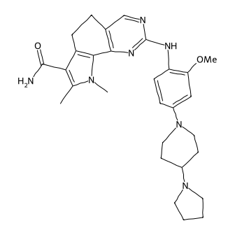 COc1cc(N2CCC(N3CCCC3)CC2)ccc1Nc1ncc2c(n1)-c1c(c(C(N)=O)c(C)n1C)CC2